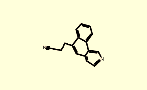 N#CCCc1cc2ccncc2c2ccccc12